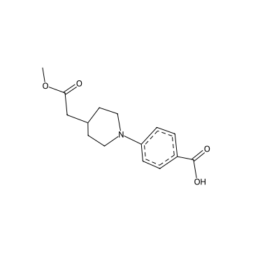 COC(=O)CC1CCN(c2ccc(C(=O)O)cc2)CC1